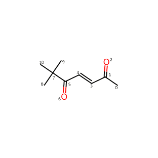 CC(=O)/C=C/C(=O)C(C)(C)C